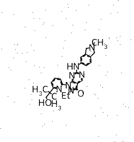 CCn1c(=O)c2cnc(Nc3ccc4c(c3)CN(C)C4)nc2n1-c1cccc(C(C)(C)CO)n1